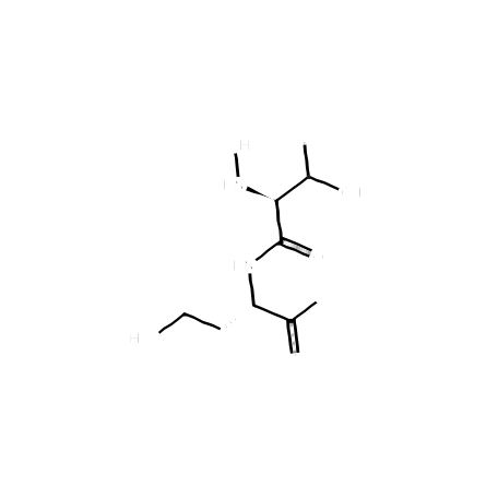 CCC[C@H](NC(=O)[C@@H](NC)C(C)C)C(C)=O